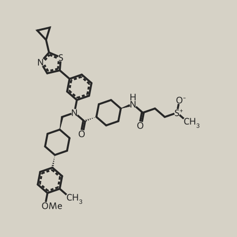 COc1ccc([C@H]2CC[C@H](CN(c3cccc(-c4cnc(C5CC5)s4)c3)C(=O)[C@H]3CC[C@H](NC(=O)CC[S+](C)[O-])CC3)CC2)cc1C